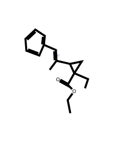 CCOC(=O)C1(CC)CC1/C(C)=C/c1ccccc1